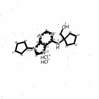 Cl.Cl.OCC1(Nc2ncnc3c2ncn3C2CCCC2)CCCC1